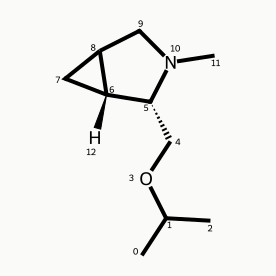 CC(C)OC[C@@H]1[C@@H]2CC2CN1C